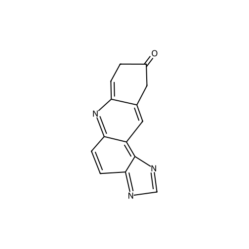 O=C1CC=c2nc3ccc4c(c3cc2C1)N=CN=4